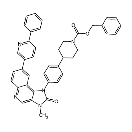 Cn1c(=O)n(-c2ccc(C3CCN(C(=O)OCc4ccccc4)CC3)cc2)c2c3cc(-c4ccc(-c5ccccc5)nc4)ccc3ncc21